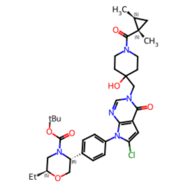 CC[C@H]1CN(C(=O)OC(C)(C)C)[C@H](c2ccc(-n3c(Cl)cc4c(=O)n(CC5(O)CCN(C(=O)[C@@]6(C)C[C@@H]6C)CC5)cnc43)cc2)CO1